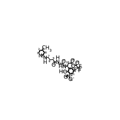 Cc1ccnc(NCCCC(=O)NCC(=O)NC(CC(=O)OC(=O)C(F)(F)F)c2cccc([N+](=O)[O-])c2O)c1